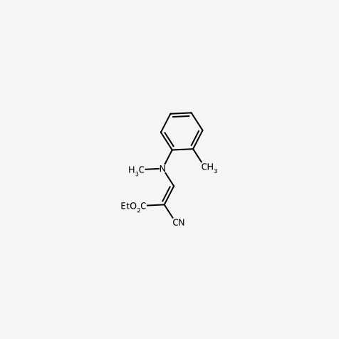 CCOC(=O)/C(C#N)=C\N(C)c1ccccc1C